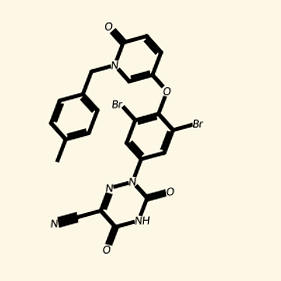 Cc1ccc(Cn2cc(Oc3c(Br)cc(-n4nc(C#N)c(=O)[nH]c4=O)cc3Br)ccc2=O)cc1